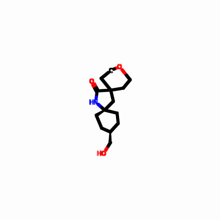 O=C1N[C@]2(CC[C@H](CO)CC2)CC12CCOCC2